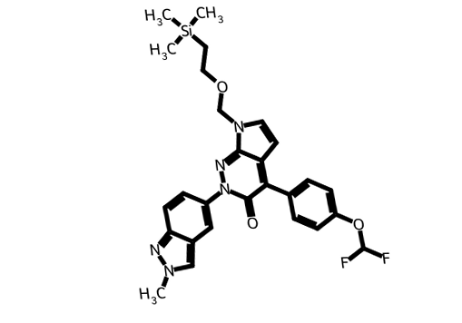 Cn1cc2cc(-n3nc4c(ccn4COCC[Si](C)(C)C)c(-c4ccc(OC(F)F)cc4)c3=O)ccc2n1